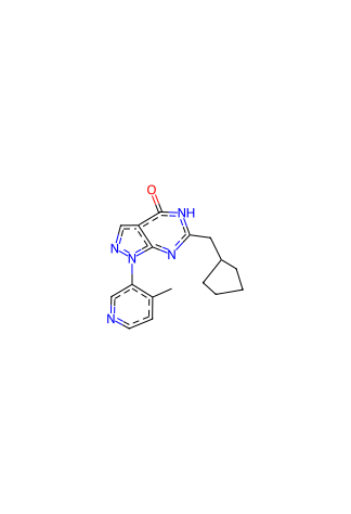 Cc1ccncc1-n1ncc2c(=O)[nH]c(CC3CCCC3)nc21